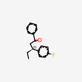 CC[C@@H](CC(=O)c1ccccc1)c1ccc(F)cc1